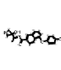 C/C(=N\C(=O)c1ccc2c(Oc3ccc(C(F)(F)F)cc3)cccc2c1)C1(O)CNC1